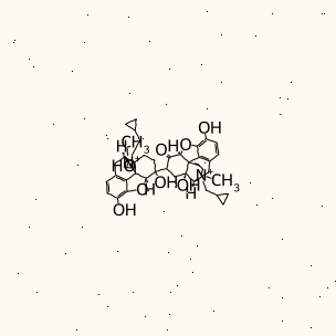 C[N+]1(CC2CC2)CC[C@]23c4c5ccc(O)c4O[C@H]2C(=O)C(C2(O)CC[C@@]4(O)[C@H]6Cc7ccc(O)c8c7[C@@]4(CC[N+]6(C)CC4CC4)[C@H]2O8)C[C@@]3(O)[C@H]1C5